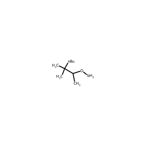 CCCCC(C)(C)C(C)O[SiH3]